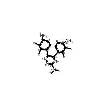 Cc1c(N)ccc(-c2nnc(N(C)C)nc2-c2ccc(N)c(C)c2C)c1C